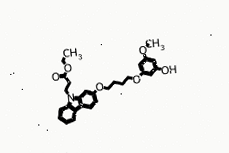 CCOC(=O)CCn1c2ccccc2c2ccc(OCCCCOc3cc(O)cc(OC)c3)cc21